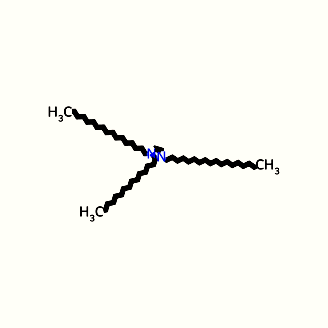 CCCCCCCCCCCCCCCCCCN1C=CN(CCCCCCCCCCCCCCCCC)C1CCCCCCCCCCCCCC